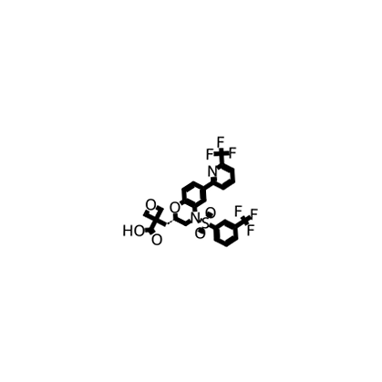 O=C(O)C1(C[C@H]2CN(S(=O)(=O)c3cccc(C(F)(F)F)c3)c3cc(-c4cccc(C(F)(F)F)n4)ccc3O2)COC1